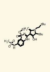 C=C1C(C2=NP(=O)(OCC)c3cc(NS(C)(=O)=O)ccc3N2)=C(O)C(C(C)(C)C)N1CCC(C)(C)C